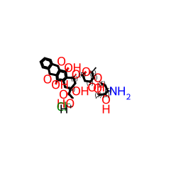 C[C@@H]1O[C@@H](O[C@@H]2[C@H](C)O[C@@H](O[C@H]3C[C@](O)(C(=O)CO)Cc4c(O)c5c(c(O)c43)C(=O)c3ccccc3C5=O)C[C@@H]2O)C[C@H](N)[C@@H]1O.[Cl-].[H+]